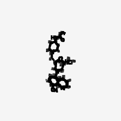 CC(C)C(=O)NC1CCN(C[C@H]2CN(c3ccc(C#N)c4ncccc34)C[C@@H](C)O2)CC1.Cl